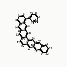 c1cnnc(-c2cccc3cc4cc5ccc6cc7cc8ccccc8cc7cc6c5cc4cc23)c1